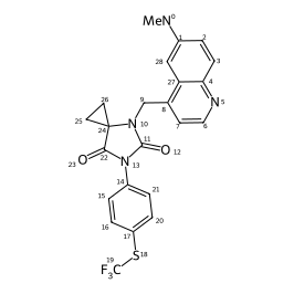 CNc1ccc2nccc(CN3C(=O)N(c4ccc(SC(F)(F)F)cc4)C(=O)C34CC4)c2c1